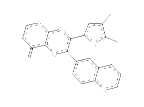 Cc1cc(-c2nc3[nH]ccc(=O)c3nc2-c2ccc3ncccc3c2)[nH]c1C